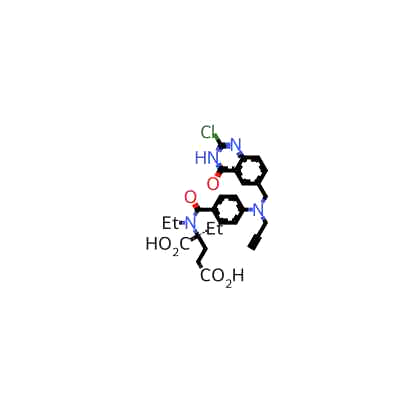 C#CCN(Cc1ccc2nc(Cl)[nH]c(=O)c2c1)c1ccc(C(=O)N(CC)[C@@](CC)(CCC(=O)O)C(=O)O)cc1